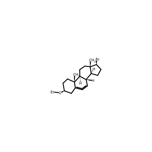 CCO[C@H]1CC[C@@]2(C)C(=C=C[C@H]3[C@@H]4CC[C@H](C(C)=O)[C@@]4(C)CC[C@@H]32)C1